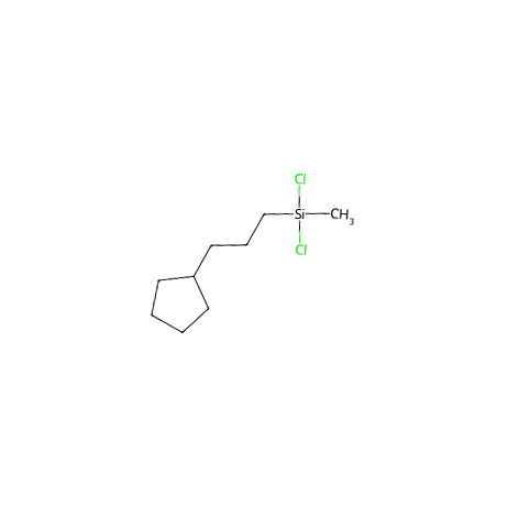 C[Si](Cl)(Cl)CCCC1CCCC1